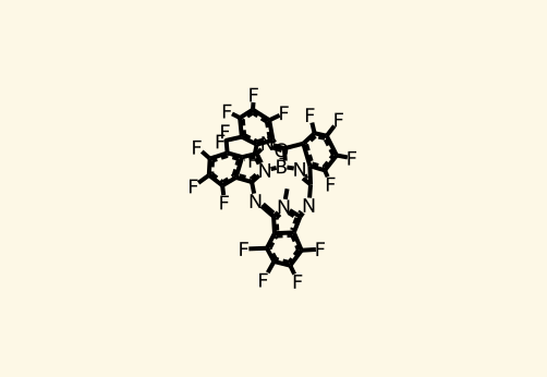 C/C1=N\c2c3c(F)c(F)c(F)c(F)c3c3n2B(Oc2c(F)c(F)c(F)c(F)c2F)/N=C(\N=c2\c4c(F)c(F)c(F)c(F)c4/c(n2C)=N/3)c2c(F)c(F)c(F)c(F)c21